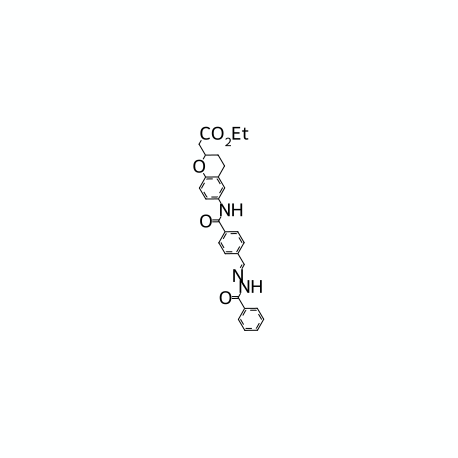 CCOC(=O)CC1CCc2cc(NC(=O)c3ccc(C=NNC(=O)c4ccccc4)cc3)ccc2O1